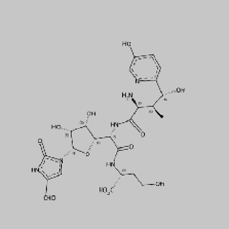 C[C@@H]([C@H](N)C(=O)N[C@H](C(=O)N[C@H](CCO)C(=O)O)[C@@H]1O[C@H](n2cc(C=O)[nH]c2=O)[C@H](O)[C@@H]1O)[C@@H](O)c1ccc(O)cn1